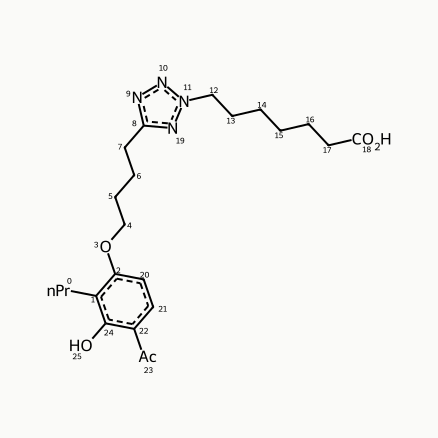 CCCc1c(OCCCCc2nnn(CCCCCCC(=O)O)n2)ccc(C(C)=O)c1O